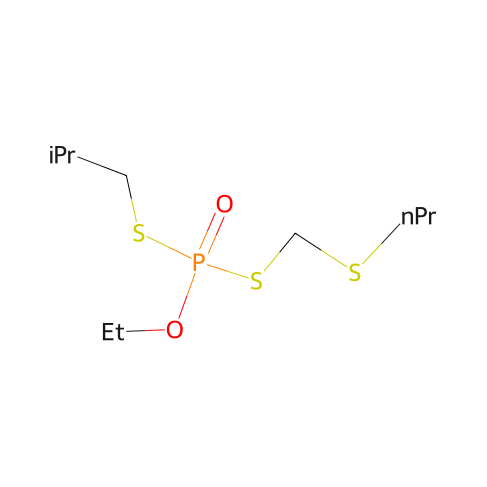 CCCSCSP(=O)(OCC)SCC(C)C